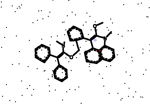 CO/C(=C(/c1ccccc1)c1ccccc1COC(=C(c1ccccc1)c1ccccc1)N(C)C)N(C)c1ccccc1